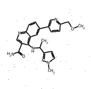 COCc1ccc(-c2ccc3ncc(C(N)=O)c(NC(C)c4ccn(C)n4)c3c2)cn1